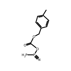 Cc1ccc(COC(=O)OP(#N)P)cc1